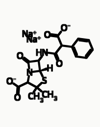 CC1(C)S[C@H]2C(NC(=O)C(C(=O)[O-])c3ccccc3)C(=O)N2C1C(=O)[O-].[Na+].[Na+]